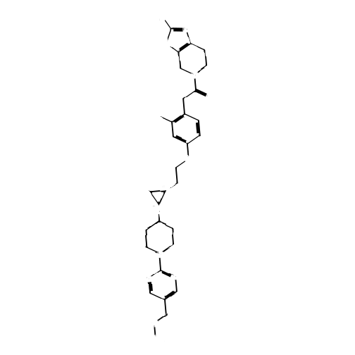 COCc1cnc(N2CCC([C@H]3C[C@H]3CCOc3ccc(CC(=O)N4CCc5nc(C)oc5C4)c(F)c3)CC2)nc1